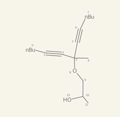 CCCCC#CC(C)(C#CCCCC)OCC(C)O